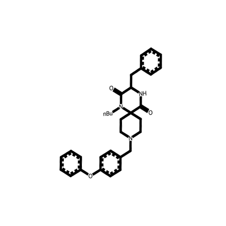 CCCCN1C(=O)C(Cc2ccccc2)NC(=O)C12CCN(Cc1ccc(Oc3ccccc3)cc1)CC2